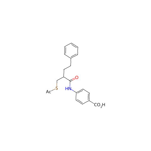 CC(=O)SCC(CCc1ccccc1)C(=O)Nc1ccc(C(=O)O)cc1